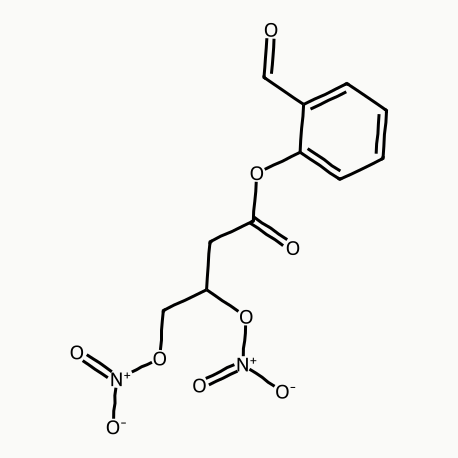 O=Cc1ccccc1OC(=O)CC(CO[N+](=O)[O-])O[N+](=O)[O-]